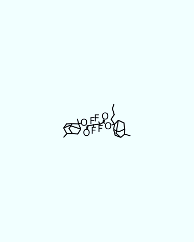 CCCCC1(OC(=O)C(F)(F)C(F)(F)C(=O)OC2(C)C3CC4CC2CC(C3)C4C)C2CC3CC1CC(C2)C3C